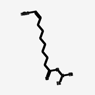 CCCCCCCC/C=C\CCCCCCCC(=O)ON(CC)CC